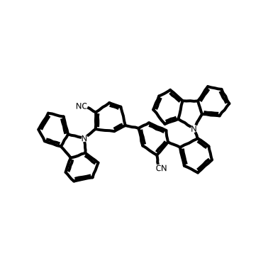 N#Cc1cc(-c2ccc(C#N)c(-n3c4ccccc4c4ccccc43)c2)ccc1-c1ccccc1-n1c2ccccc2c2ccccc21